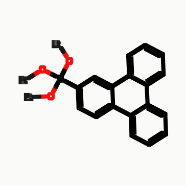 CCO[Si](OCC)(OCC)c1ccc2c3ccccc3c3ccccc3c2c1